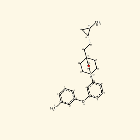 Cc1cccc(Oc2cccc([PH]34CCC(CC[C@@H]5CC5C)(CC3)CO4)c2)c1